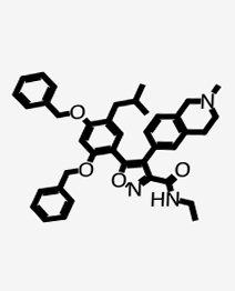 CCNC(=O)c1noc(-c2cc(CC(C)C)c(OCc3ccccc3)cc2OCc2ccccc2)c1-c1ccc2c(c1)CCN(C)C2